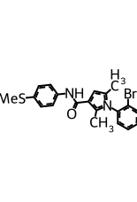 CSc1ccc(NC(=O)c2cc(C)n(-c3ccccc3Br)c2C)cc1